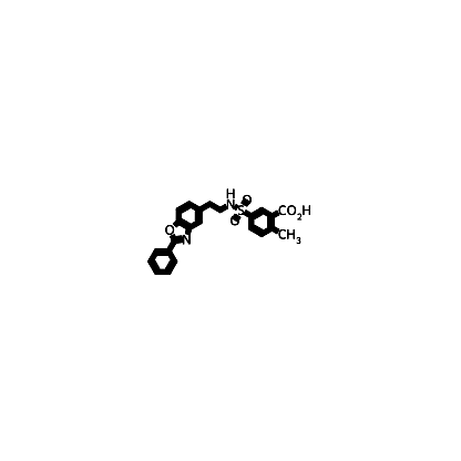 Cc1ccc(S(=O)(=O)NCCc2ccc3oc(-c4ccccc4)nc3c2)cc1C(=O)O